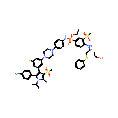 CCOP(=O)(Nc1ccc(N2CCN(c3cc(F)cc(-c4c(S(C)(=O)=O)c(C)n(C(C)C)c4-c4ccc(Cl)cc4)c3)CC2)cc1)c1ccc(N[C@H](CCO)CSc2ccccc2)c(S(C)(=O)=O)c1